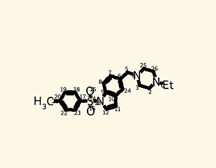 CCN1CCN(Cc2ccc3c(ccn3S(=O)(=O)c3ccc(C)cc3)c2)CC1